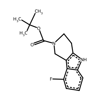 CC(C)(C)OC(=O)N1CCc2[nH]c3cccc(F)c3c2C1